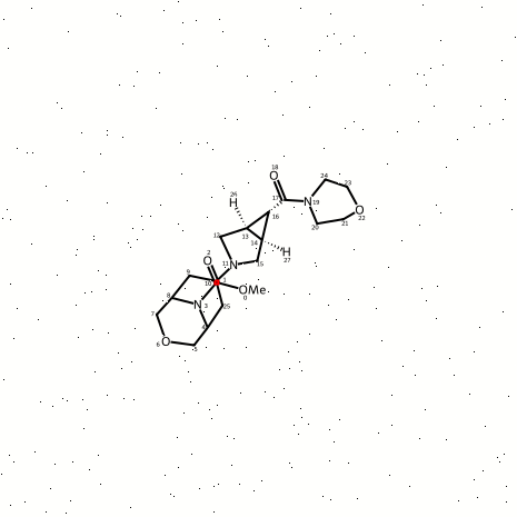 COC(=O)N1C2COCC1CC(N1C[C@@H]3[C@H](C1)[C@H]3C(=O)N1CCOCC1)C2